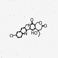 CCC1(O)CC(=O)OCc2c1cc1n(c2=O)Cc2cc3cc(Cl)ccc3nc2-1